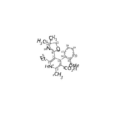 CCOC(=O)C1=C(C)NC(CC)=C(C2=NC(C)(C)CO2)C1c1ccccc1OC